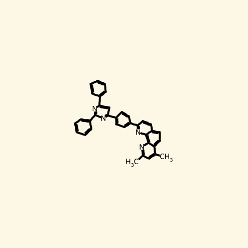 Cc1cc(C)c2ccc3ccc(-c4ccc(-c5cc(-c6ccccc6)nc(-c6ccccc6)n5)cc4)nc3c2n1